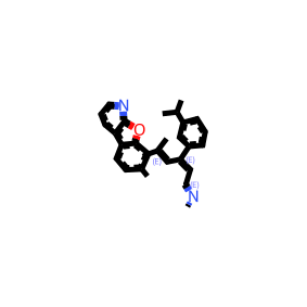 C/N=C/C=C(\C=C(/C)c1c(C)ccc2c1oc1ncccc12)c1cccc(C(C)C)c1